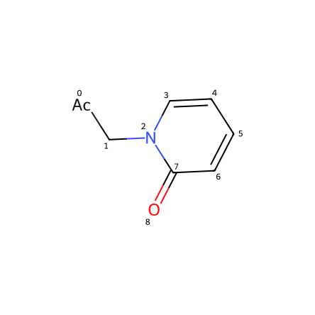 CC(=O)Cn1ccccc1=O